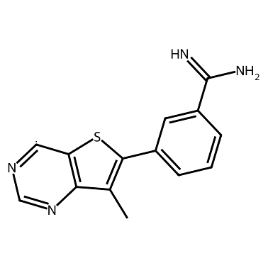 Cc1c(-c2cccc(C(=N)N)c2)sc2[c]ncnc12